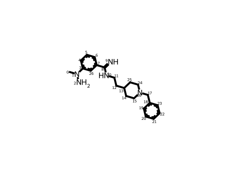 CN(N)c1cccc(C(=N)NCCC2CCN(Cc3ccccc3)CC2)c1